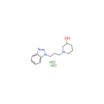 Cl.Cl.OC1CCCN(CCCn2cnc3ccccc32)C1